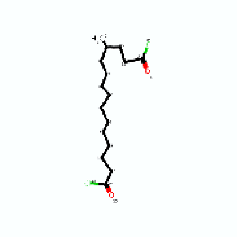 CC(CCCCCCCCCCC(=O)Cl)CCC(=O)Cl